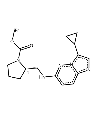 CC(C)OC(=O)N1CCC[C@H]1CNc1ccc2ncc(C3CC3)n2n1